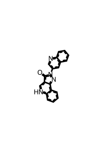 O=c1c2c[nH]c3ccccc3c-2nn1-c1cnc2ccccc2c1